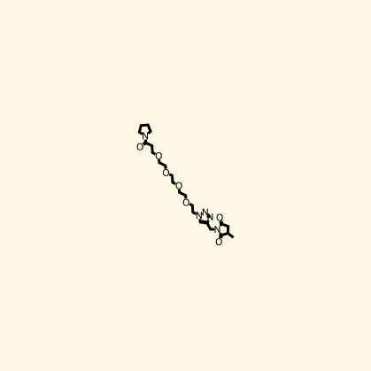 CC1CC(=O)N(Cc2cn(CCOCCOCCOCCOCCC(=O)N3CCCC3)nn2)C1=O